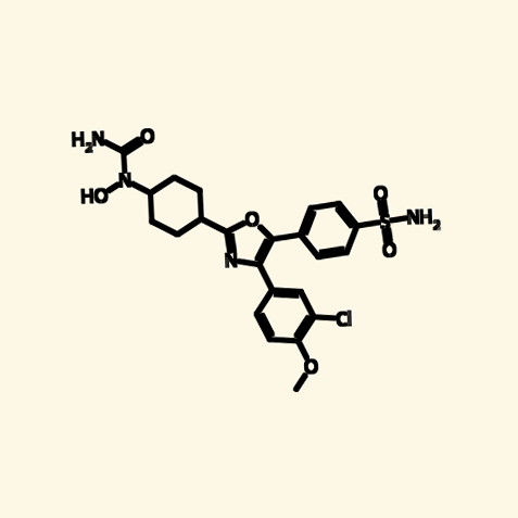 COc1ccc(-c2nc(C3CCC(N(O)C(N)=O)CC3)oc2-c2ccc(S(N)(=O)=O)cc2)cc1Cl